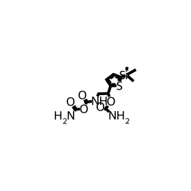 C[Si](C)(C)c1ccc(C(CNC(=O)OC(N)=O)OC(N)=O)s1